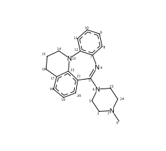 CN1CCN(C2=Nc3ccccc3N3CCCc4cccc2c43)CC1